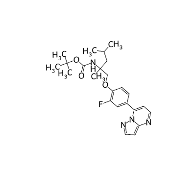 CC(C)CC(C)(COc1ccc(-c2ccnc3ccnn23)cc1F)NC(=O)OC(C)(C)C